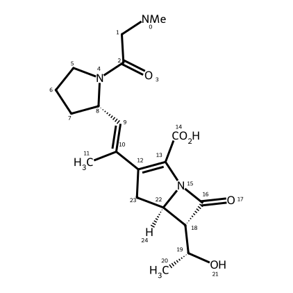 CNCC(=O)N1CCC[C@H]1/C=C(\C)C1=C(C(=O)O)N2C(=O)[C@H]([C@@H](C)O)[C@H]2C1